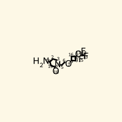 NC1CCN(CCO[C@H]2C[C@@H](OC(F)(F)F)C2)C(=O)C1